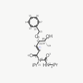 CC(C)NC(=O)N(C(=O)/C=C/[C@H](OCc1ccccc1)[C@@H](C)O)C(C)C